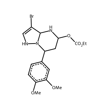 CCOC(=O)OC1CC(c2ccc(OC)c(OC)c2)N2NC=C(Br)C2N1